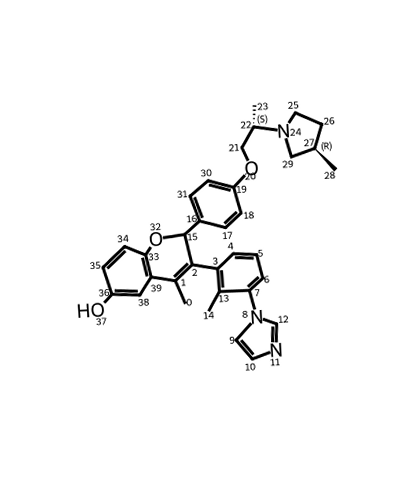 CC1=C(c2cccc(-n3ccnc3)c2C)C(c2ccc(OC[C@H](C)N3CC[C@@H](C)C3)cc2)Oc2ccc(O)cc21